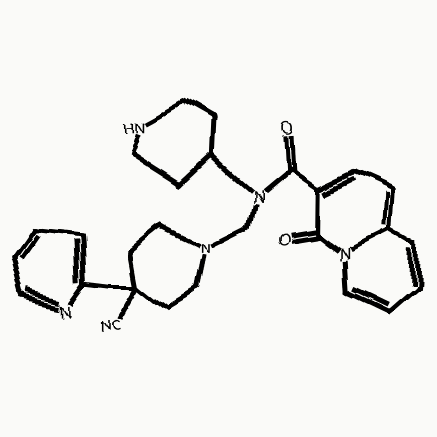 N#CC1(c2ccccn2)CCN(CN(C(=O)c2ccc3ccccn3c2=O)C2CCNCC2)CC1